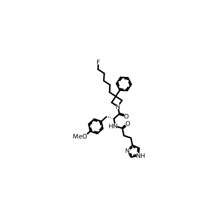 COc1ccc(C[C@@H](NC(=O)CCc2c[nH]cn2)C(=O)N2CC(CCCCCF)(c3ccccc3)C2)cc1